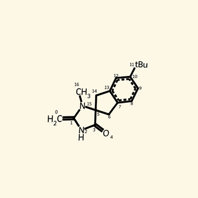 C=C1NC(=O)C2(Cc3ccc(C(C)(C)C)cc3C2)N1C